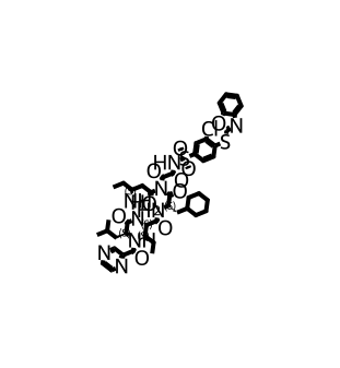 CC[C@H](N)CC(=O)N(C(=O)C(=O)NS(=O)(=O)c1ccc(Sc2nc3ccccc3o2)c(Cl)c1)C(=O)[C@H](CC1CCCCC1)NC(=O)[C@@H](NC(=O)[C@H](CC(C)C)NC(=O)c1cnccn1)[C@@H](C)CC